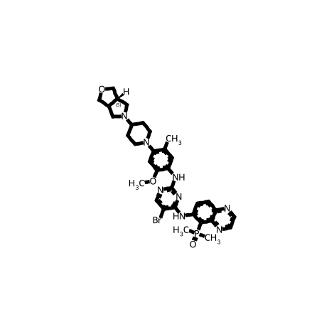 COc1cc(N2CCC(N3CC4COC[C@@H]4C3)CC2)c(C)cc1Nc1ncc(Br)c(Nc2ccc3nccnc3c2P(C)(C)=O)n1